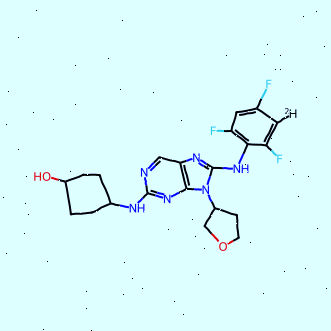 [2H]c1c(F)cc(F)c(Nc2nc3cnc(NC4CCC(O)CC4)nc3n2C2CCOC2)c1F